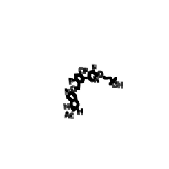 CC(=O)[C@H]1[C@@H]2Cc3cc(OCc4cc(-c5cnc(OCCC(C)(C)O)c(F)c5)c(C(F)(F)F)cc4F)ncc3[C@@H]21